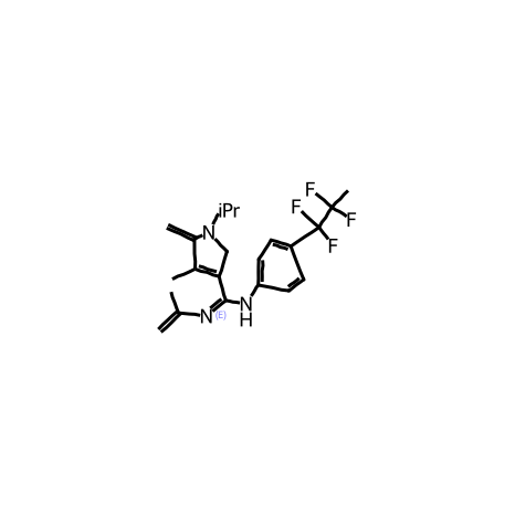 C=C(C)/N=C(/Nc1ccc(C(F)(F)C(C)(F)F)cc1)C1=C(C)C(=C)N(C(C)C)C1